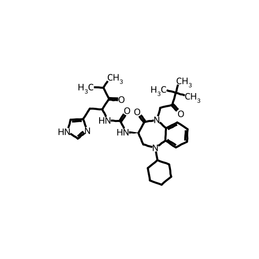 CC(C)C(=O)C(Cc1c[nH]cn1)NC(=O)N[C@@H]1CN(C2CCCCC2)c2ccccc2N(CC(=O)C(C)(C)C)C1=O